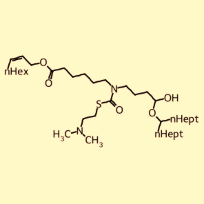 CCCCCC/C=C\COC(=O)CCCCCN(CCCC(O)OC(CCCCCCC)CCCCCCC)C(=O)SCCN(C)C